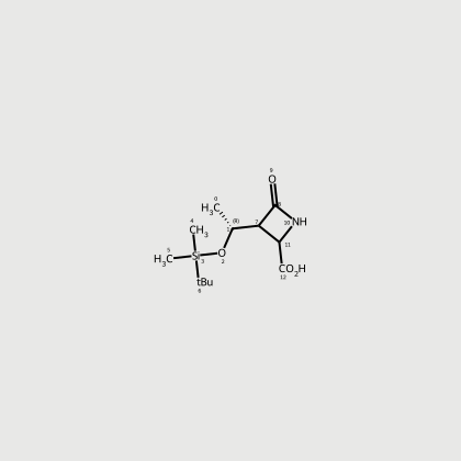 C[C@@H](O[Si](C)(C)C(C)(C)C)C1C(=O)NC1C(=O)O